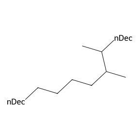 CCCCCCCCCCCCCCC(C)C(C)CCCCCCCCCC